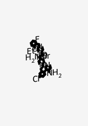 Br.CCOc1cccc(F)c1CN1CCN(C(=O)[C@H](N)C2CCN(CCc3cc(Cl)ccc3-c3cnccc3N)CC2)CC1